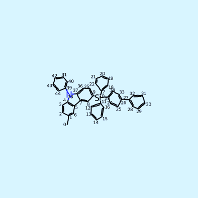 Cc1ccc2c(c1)c1cc([Si](c3ccccc3)(c3ccccc3)c3ccc(-c4ccccc4)cc3)ccc1n2-c1ccccc1